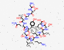 CC[C@H](C)[C@H](NC(=O)[C@H](CCCCN)NC(=O)[C@H](CC(C)C)NC(=O)[C@H](CO)NC(=O)[C@H](Cc1ccc(O)cc1)NC(=O)[C@H](CCC(N)=O)NC(=O)[C@@H](NC(=O)CNC(=O)[C@H](CO)NC(=O)CN)[C@@H](C)O)C(=O)N[C@H](C(=O)N[C@@H](CO)C(=O)N[C@@H](CC(C)C)C(=O)O)[C@@H](C)O